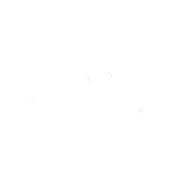 COCCOc1nc(Cl)ncc1Cc1ccc(C)nc1